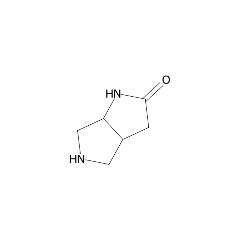 O=C1CC2CNCC2N1